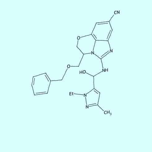 CCn1nc(C)cc1C(O)Nc1nc2cc(C#N)cc3c2n1C(COCc1ccccc1)CO3